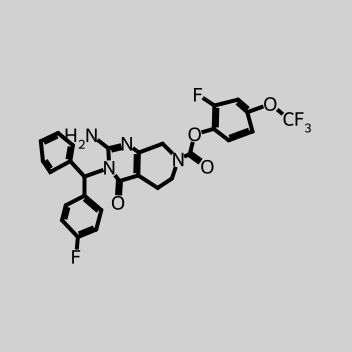 Nc1nc2c(c(=O)n1C(c1ccccc1)c1ccc(F)cc1)CCN(C(=O)Oc1ccc(OC(F)(F)F)cc1F)C2